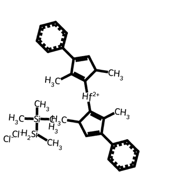 CC1=[C]([Hf+2][C]2=C(C)C(c3ccccc3)=CC2C)C(C)C=C1c1ccccc1.C[SiH2][Si](C)(C)C.[Cl-].[Cl-]